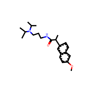 COc1ccc2cc(C(C)C(=O)NCCCN(C(C)C)C(C)C)ccc2c1